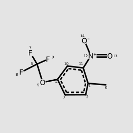 Cc1ccc(OC(F)(F)F)cc1[N+](=O)[O-]